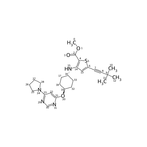 COC(=O)c1sc(C#CC(C)(C)C)cc1N[C@H]1CC[C@H](Oc2cc(N3CCCC3)ncn2)CC1